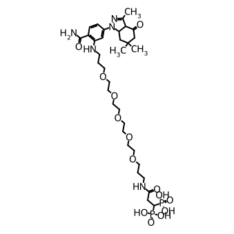 CC1=NN(c2ccc(C(N)=O)c(NCCCOCCOCCOCCOCCOCCCNC(=O)CC(P(=O)(O)O)P(=O)(O)O)c2)C2CC(C)(C)CC(=O)C12